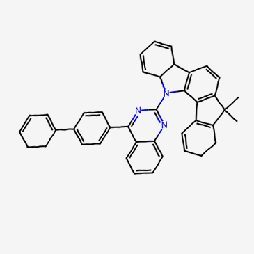 CC1(C)C2=C(C=CCC2)c2c1ccc1c2N(c2nc(-c3ccc(C4=CC=CCC4)cc3)c3ccccc3n2)C2C=CC=CC12